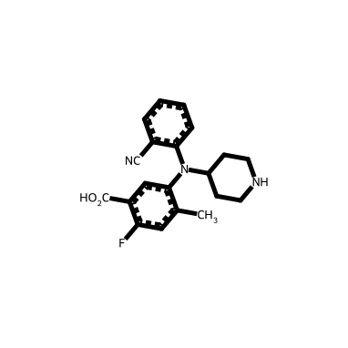 Cc1cc(F)c(C(=O)O)cc1N(c1ccccc1C#N)C1CCNCC1